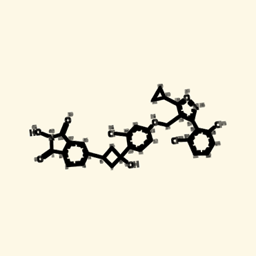 O=C1c2ccc(C3CC(O)(c4ccc(OCc5c(-c6c(Cl)cccc6Cl)noc5C5CC5)cc4Cl)C3)cc2C(=O)N1O